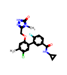 Cc1cc(OCc2n[nH]c(=O)n2C)c(-c2cc(C(=O)NC3CC3)ccc2F)cc1Cl